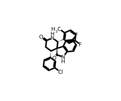 Cc1ccc(F)cc1[C@H]1NC(=O)C[C@@H](c2cccc(Cl)c2)[C@]12C(=O)Nc1ccc(F)cc12